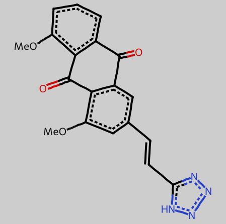 COc1cccc2c1C(=O)c1c(OC)cc(/C=C/c3nnn[nH]3)cc1C2=O